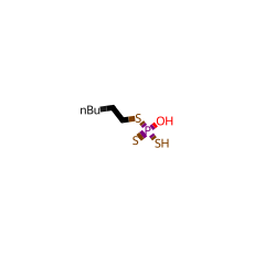 CCCCCCSP(O)(=S)S